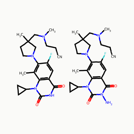 Cc1c(N2CCC(C)(CN(C)CCC#N)C2)c(F)cc2c(=O)[nH]c(=O)n(C3CC3)c12.Cc1c(N2CCC(C)(CN(C)CCC#N)C2)c(F)cc2c(=O)n(N)c(=O)n(C3CC3)c12